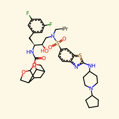 CC(C)CN(C[C@@H](O)[C@H](Cc1cc(F)cc(F)c1)NC(=O)OC1C2COC3OCC1C3C2)S(=O)(=O)c1ccc2nc(NC3CCN(C4CCCC4)CC3)sc2c1